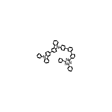 c1ccc(-c2nc(-c3ccccc3)nc(-c3cccc(-c4cccc(-c5ccc(-n6c7ccccc7c7cc(-c8ccc9c(c8)c8ccccc8n9-c8ccccc8)ccc76)cc5)c4)c3)n2)cc1